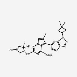 COc1nc(N[C@@H]2CN(C(C)=O)CC2(F)F)nn2cc(F)c(-c3ccc4nnn(C5CC(F)(F)C5)c4c3)c12